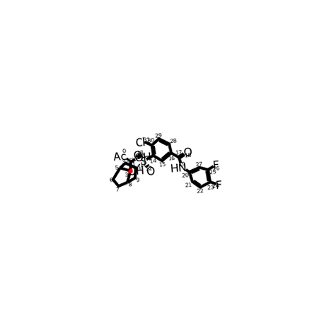 CC(=O)[C@@H](O)[C@]1(O)C2CCC1C[C@@H](S(=O)(=O)c1cc(C(=O)Nc3ccc(F)c(F)c3)ccc1Cl)C2